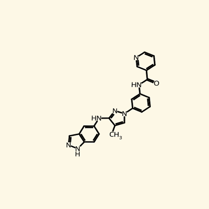 Cc1cn(-c2cccc(NC(=O)c3cccnc3)c2)nc1Nc1ccc2[nH]ncc2c1